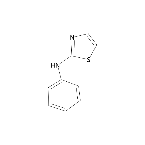 c1ccc(Nc2nccs2)cc1